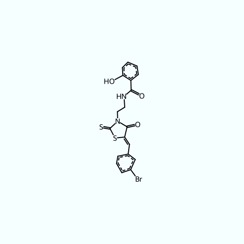 O=C(NCCN1C(=O)/C(=C/c2cccc(Br)c2)SC1=S)c1ccccc1O